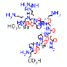 CC(C)[C@H](NC(=O)[C@H](CCCCN)NC(=O)[C@H](CCCNC(=N)N)NC(=O)[C@@H]1CCCN1C(=O)[C@H](CCCCN)NC(=O)[C@H](C)NC(=O)[C@H](CCC(N)=O)NC(=O)[C@@H]1CCCN1C(=O)[C@@H](NC(=O)[C@@H]1CCCN1C(=O)[C@@H](N)CCC(=O)O)C(C)C)C(=O)O